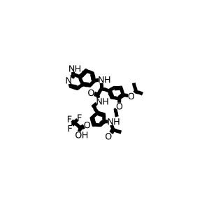 CCOc1cc(C(Nc2ccc3c(N)nccc3c2)C(=O)NCc2cccc(NC(C)=O)c2)ccc1OC(C)C.O=C(O)C(F)(F)F